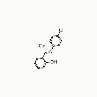 Oc1ccccc1/C=N/c1ccc(Cl)cc1.[Cu]